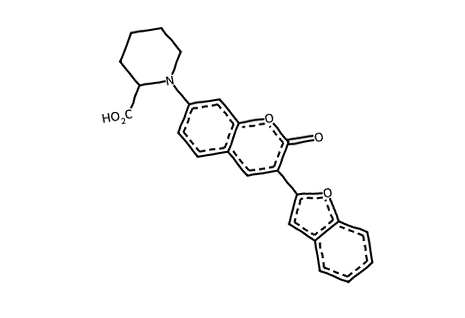 O=C(O)C1CCCCN1c1ccc2cc(-c3cc4ccccc4o3)c(=O)oc2c1